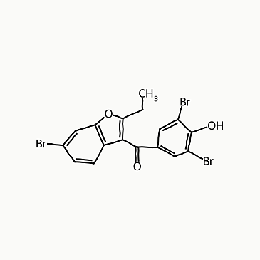 CCc1oc2cc(Br)ccc2c1C(=O)c1cc(Br)c(O)c(Br)c1